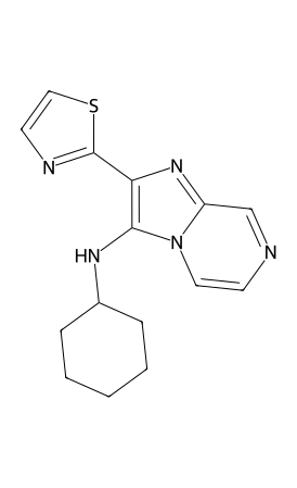 c1cn2c(NC3CCCCC3)c(-c3nccs3)nc2cn1